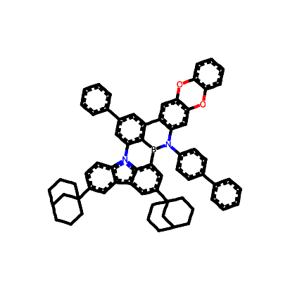 c1ccc(-c2ccc(N3B4c5c(cc(-c6ccccc6)cc5-n5c6ccc(C78CCCC(CCC7)C8)cc6c6cc(C78CCCC(CCC7)C8)cc4c65)-c4cc5c(cc43)Oc3ccccc3O5)cc2)cc1